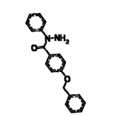 NN(C(=O)c1ccc(OCc2ccccc2)cc1)c1ccccc1